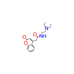 CCN(CC)CCNC(=O)Cc1cc(=O)oc2ccccc12